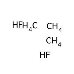 C.C.C.F.F